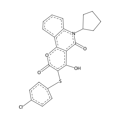 O=c1oc2c(c(O)c1Sc1ccc(Cl)cc1)c(=O)n(C1CCCC1)c1ccccc21